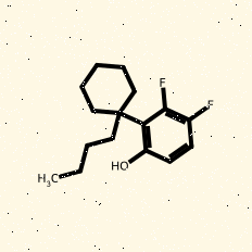 CCCCC1(c2c(O)ccc(F)c2F)CCCCC1